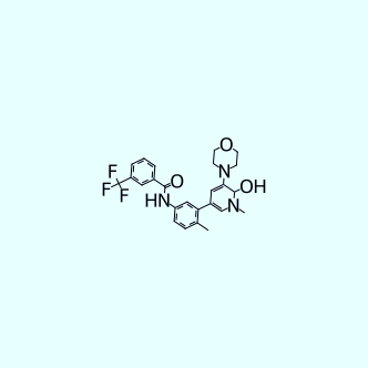 Cc1ccc(NC(=O)c2cccc(C(F)(F)F)c2)cc1C1=CN(C)C(O)C(N2CCOCC2)=C1